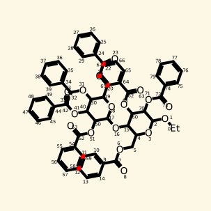 CCOC1OC(COC(=O)c2ccccc2)C(OC2OC(COC(=O)c3ccccc3)C(OC(=O)c3ccccc3)C(OC(=O)c3ccccc3)C2OC(=O)c2ccccc2)C(OC(=O)c2ccccc2)C1OC(=O)c1ccccc1